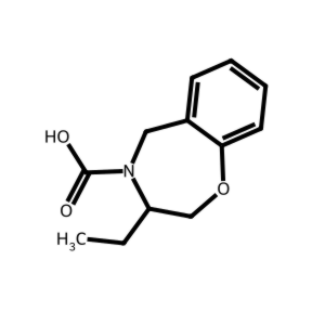 CCC1COc2ccccc2CN1C(=O)O